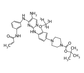 [2H]C([2H])([2H])Oc1cc(N2CCN(C(=O)OC(C)(C)C)CC2)ccc1Nc1ncc(N)c(Nc2cccc(NC(=O)C=C)c2)n1